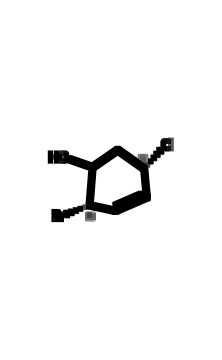 OC1C[C@H](Cl)C=C[C@@H]1Br